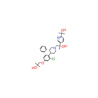 CC(C)(O)COc1ccc(C2CCN(C[C@@](C)(O)c3ccc(C(C)(C)O)nc3)C[C@H]2c2ccccc2)c(Cl)c1